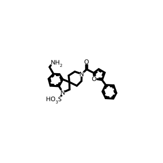 NCc1ccc2c(c1)C1(CCN(C(=O)c3ccc(-c4ccccc4)o3)CC1)CN2S(=O)(=O)O